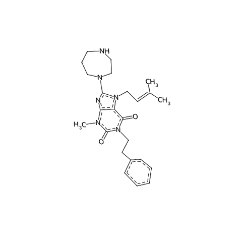 CC(C)=CCn1c(N2CCCNCC2)nc2c1c(=O)n(CCc1ccccc1)c(=O)n2C